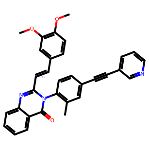 COc1ccc(/C=C/c2nc3ccccc3c(=O)n2-c2ccc(C#Cc3cccnc3)cc2C)cc1OC